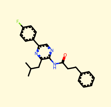 CC(C)Cc1nc(-c2ccc(F)cc2)cnc1NC(=O)CCc1ccccc1